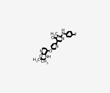 Cn1c(Nc2ccc(F)cc2)ncc(-c2ccc(Oc3ccnc4c3NCC(C)(C)O4)cn2)c1=O